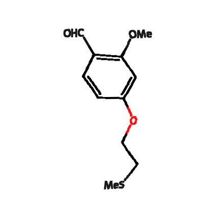 COc1cc(OCCSC)ccc1C=O